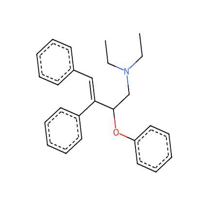 CCN(CC)CC(Oc1ccccc1)C(=Cc1ccccc1)c1ccccc1